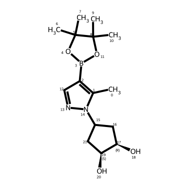 Cc1c(B2OC(C)(C)C(C)(C)O2)cnn1C1C[C@@H](O)[C@@H](O)C1